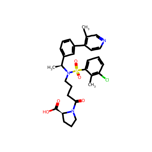 Cc1cnccc1-c1cccc([C@H](C)N(CCCC(=O)N2CCC[C@H]2C(=O)O)S(=O)(=O)c2cccc(Cl)c2C)c1